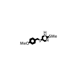 COc1ccc(CSC2CN=C(SC)NC2)cc1